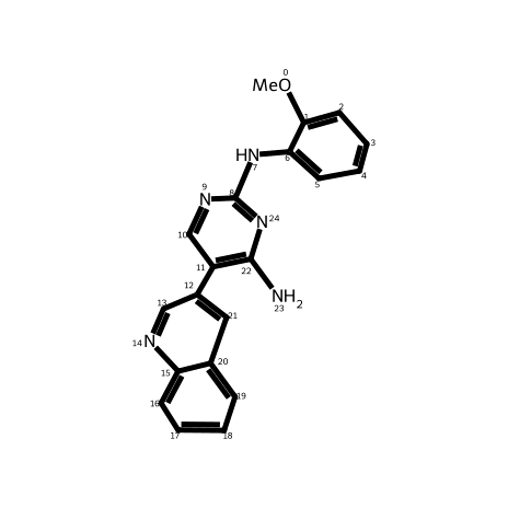 COc1ccccc1Nc1ncc(-c2cnc3ccccc3c2)c(N)n1